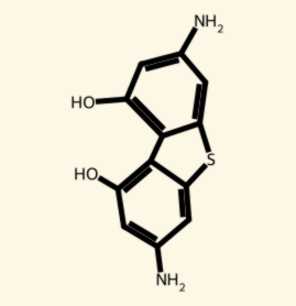 Nc1cc(O)c2c(c1)sc1cc(N)cc(O)c12